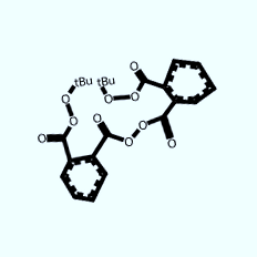 CC(C)(C)OOC(=O)c1ccccc1C(=O)OOC(=O)c1ccccc1C(=O)OOC(C)(C)C